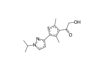 Cc1sc(-c2ccn(C(C)C)n2)c(C)c1C(=O)CO